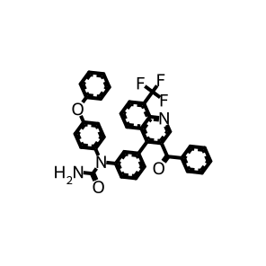 NC(=O)N(c1ccc(Oc2ccccc2)cc1)c1cccc(-c2c(C(=O)c3ccccc3)cnc3c(C(F)(F)F)cccc23)c1